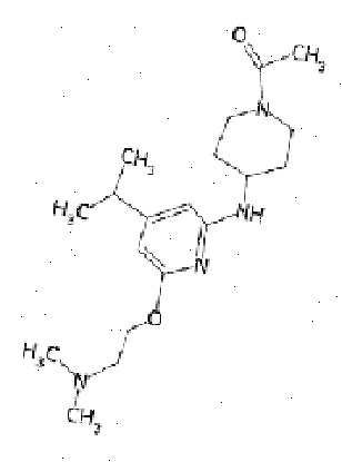 CC(=O)N1CCC(Nc2cc(C(C)C)cc(OCCN(C)C)n2)CC1